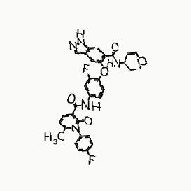 Cc1ccc(C(=O)Nc2ccc(Oc3cc4cn[nH]c4cc3C(=O)NC3CCOCC3)c(F)c2)c(=O)n1-c1ccc(F)cc1